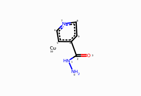 NNC(=O)c1ccncc1.[Cu]